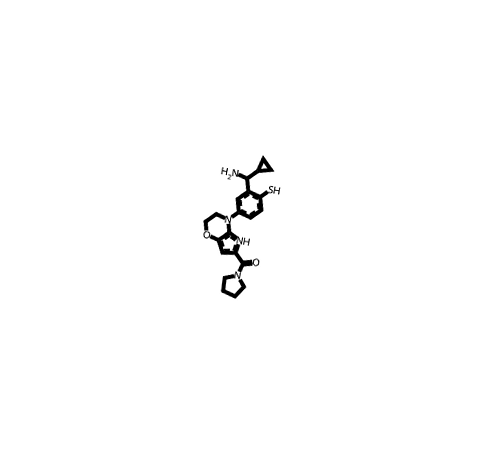 NC(c1cc(N2CCOc3cc(C(=O)N4CCCC4)[nH]c32)ccc1S)C1CC1